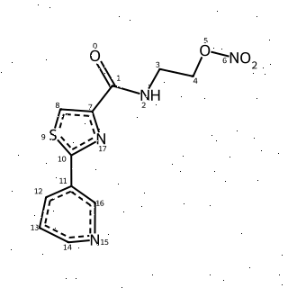 O=C(NCCO[N+](=O)[O-])c1csc(-c2cccnc2)n1